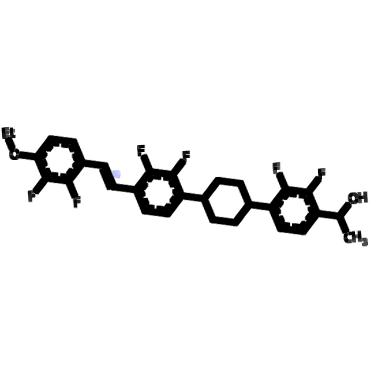 CCOc1ccc(/C=C/c2ccc(C3CCC(c4ccc(C(C)O)c(F)c4F)CC3)c(F)c2F)c(F)c1F